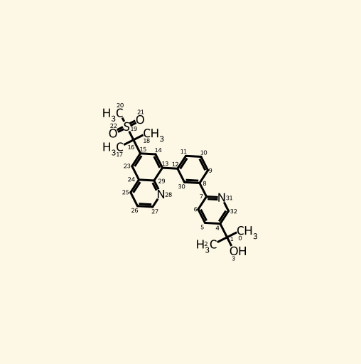 CC(C)(O)c1ccc(-c2cccc(-c3cc(C(C)(C)S(C)(=O)=O)cc4cccnc34)c2)nc1